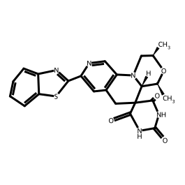 C[C@@H]1CN2c3cnc(-c4nc5ccccc5s4)cc3CC3(C(=O)NC(=O)NC3=O)[C@H]2[C@H](C)O1